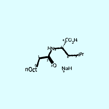 CCCCCCCCCC(=O)N[C@@H](CC(C)C)C(=O)O.[NaH]